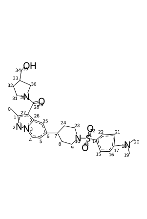 Cc1nn2ccc(C3CCN(S(=O)(=O)c4ccc(N(C)C)cc4)CC3)cc2c1C(=O)N1CCC(CO)C1